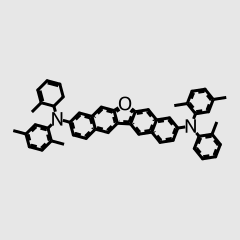 CC1=CC=CCC1N(c1ccc2cc3c(cc2c1)oc1cc2cc(N(c4ccccc4C)c4cc(C)ccc4C)ccc2cc13)c1cc(C)ccc1C